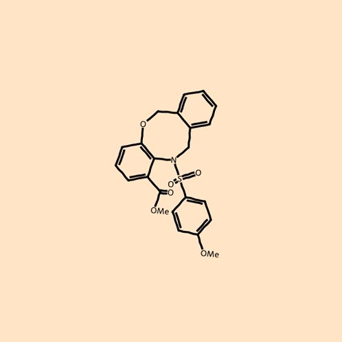 COC(=O)c1cccc2c1N(S(=O)(=O)c1ccc(OC)cc1)Cc1ccccc1CO2